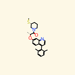 CS[C@@H]1CCCN(C(=O)[C@@H](C)Oc2ccc3c(-c4c(C)cccc4C)ccnc3c2)C1